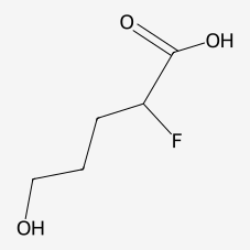 O=C(O)C(F)CCCO